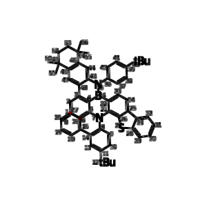 Cc1cc2c3c(c1)N(c1ccc(C(C)(C)C)cc1-c1ccccc1)c1c(ccc4c1sc1ccccc14)B3N(c1ccc(C(C)(C)C)cc1)c1cc3c(cc1-2)C(C)(C)CCC3(C)C